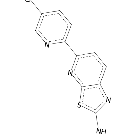 Nc1nc2ccc(-c3ccc(Cl)cn3)nc2s1